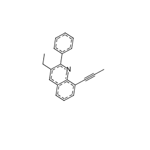 CC#Cc1cccc2cc(CC)c(-c3ccccc3)nc12